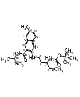 CCC(CCNc1nc2ccc(C)cc2cc1C(=O)NC(C)N)NC(=O)OC(C)(C)C